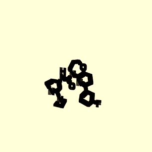 O=C(Nc1ccnc(N2CCC2)c1)N1CCCOc2ccc(-c3cccc(F)c3)nc21